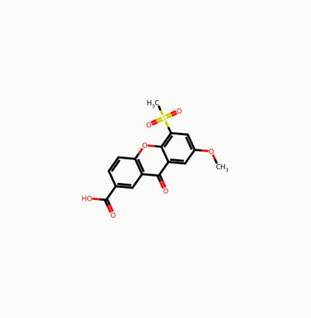 COc1cc(S(C)(=O)=O)c2oc3ccc(C(=O)O)cc3c(=O)c2c1